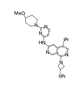 CCCC1CN(c2ncc(C(C)C)c3cc(Nc4ccnc(N5CCC(OC)CC5)n4)ncc23)C1